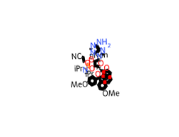 CCCCCCCCCO[C@@H]1[C@H](OP(OCCC#N)N(C(C)C)C(C)C)[C@@H](C(OC(c2ccccc2)(c2ccc(OC)cc2)c2ccc(OC)cc2)C(=O)c2ccccc2)O[C@H]1n1cnc2c(N)ncnc21